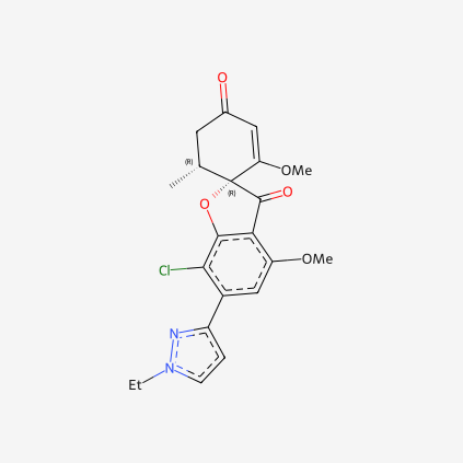 CCn1ccc(-c2cc(OC)c3c(c2Cl)O[C@@]2(C3=O)C(OC)=CC(=O)C[C@H]2C)n1